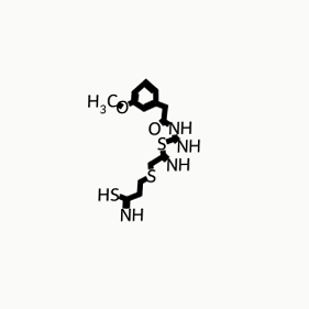 COc1cccc(CC(=O)NC(=N)SC(=N)CSCCC(=N)S)c1